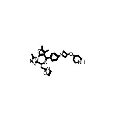 Cc1sc2c(c1C)C(c1ccc(N3CC(OC4CCNCC4)C3)cc1)=N[C@@H](Cc1ncco1)c1nnc(C)n1-2